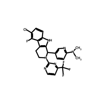 CN(C)c1ccc(C2c3[nH]c4ccc(Cl)c(F)c4c3CCN2c2nccc(C(F)(F)F)n2)cn1